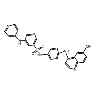 N#Cc1ccc2nccc(Nc3ccc(NS(=O)(=O)c4cccc(Nc5ccncc5)c4)cc3)c2c1